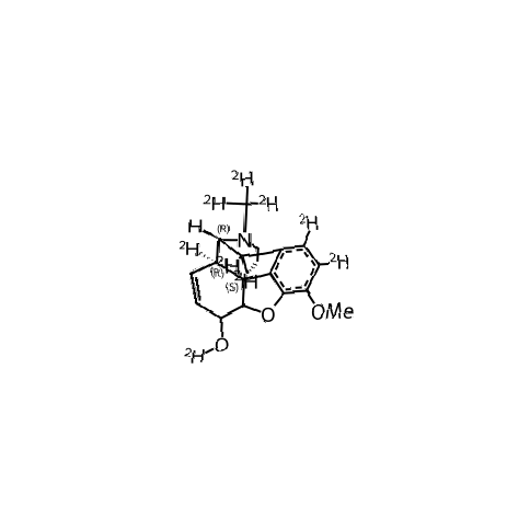 [2H]OC1C=C[C@@]2([2H])[C@@H]3N(C([2H])([2H])[2H])CC[C@@]24c2c(c(OC)c([2H])c([2H])c2C3([2H])[2H])OC14